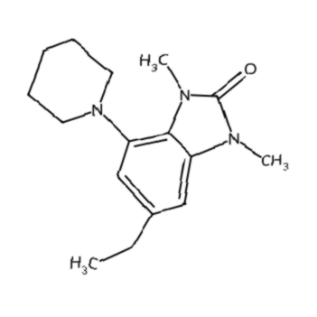 CCc1cc(N2CCCCC2)c2c(c1)n(C)c(=O)n2C